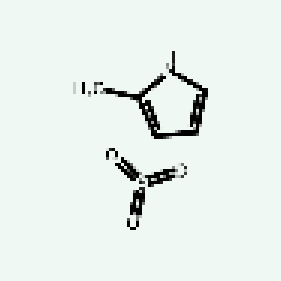 Cc1ccc[nH]1.O=S(=O)=O